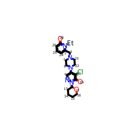 CCn1c(CN2CCN(c3cnn(C4CCCCO4)c(=O)c3Cl)CC2)cccc1=O